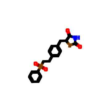 O=C1NC(=O)C(Cc2ccc(CCS(=O)(=O)c3ccccc3)cc2)S1